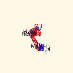 CCc1c2c(nc3ccc(O)cc13)-c1cc3c(c(=O)n1C2)COC(=O)[C@@]3(CC)OC(=O)c1ccc(NC(=O)[C@H](C)NC(=O)[C@@H](NC(=O)CCOCCOCCOCCOCCOCCOCCOCCOCCNC(=O)[C@H](CS(=O)(=O)O)NC(=O)CCn2c(CN(C)NC)cc3cccnc32)C(C)C)cc1OC1O[C@H](C(=O)O)[C@@H](O)[C@H](O)[C@H]1O